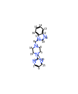 c1cnc(N2CCN(Cn3cnc4ccccc43)CC2)nc1